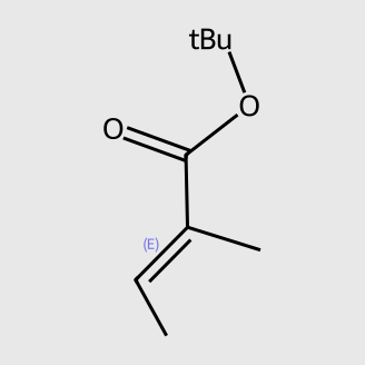 C/C=C(\C)C(=O)OC(C)(C)C